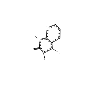 Cn1c(=O)c([N+](=O)[O-])c(N)c2cccnc21